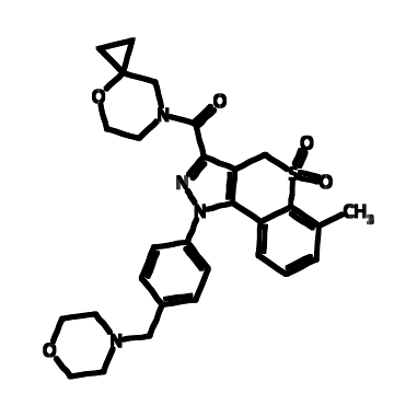 Cc1cccc2c1S(=O)(=O)Cc1c(C(=O)N3CCOC4(CC4)C3)nn(-c3ccc(CN4CCOCC4)cc3)c1-2